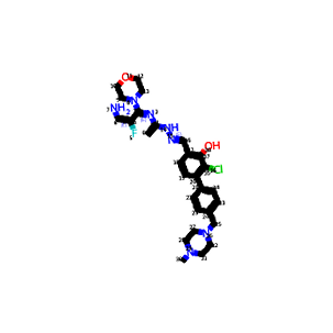 C=C(/N=C(\C(F)=C/N)N1CCOCC1)N/N=C/c1ccc(-c2ccc(CN3CCN(C)CC3)cc2)c(Cl)c1O